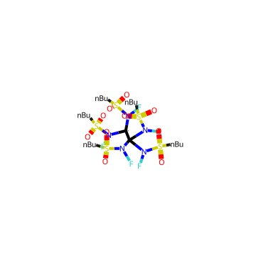 CCCCS(=O)(=O)N(F)[C](N(F)S(=O)(=O)CCCC)C(N(F)S(=O)(=O)CCCC)(N(F)S(=O)(=O)CCCC)N(F)S(=O)(=O)CCCC